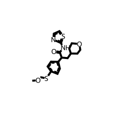 COCSc1ccc(C(CC2CCOCC2)C(=O)Nc2nccs2)cc1